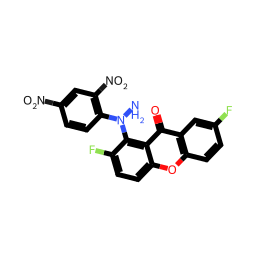 NN(c1ccc([N+](=O)[O-])cc1[N+](=O)[O-])c1c(F)ccc2oc3ccc(F)cc3c(=O)c12